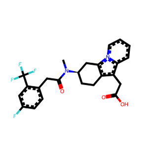 CN(C(=O)Cc1ccc(F)cc1C(F)(F)F)[C@@H]1CCc2c(CC(=O)O)c3ccccn3c2C1